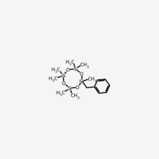 C[Si]1(C)O[Si](C)(C)O[Si](C)(Cc2ccccc2)O[Si](C)(C)O1